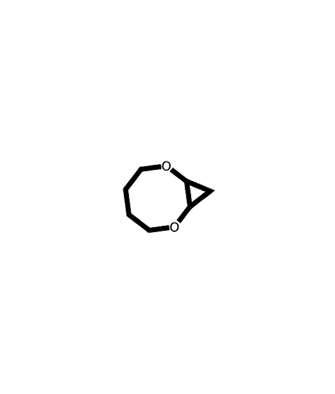 C1CCOC2CC2OC1